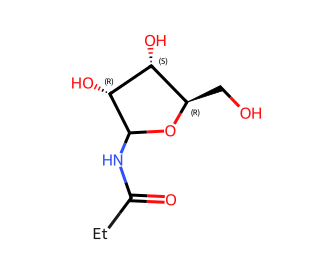 CCC(=O)NC1O[C@H](CO)[C@@H](O)[C@H]1O